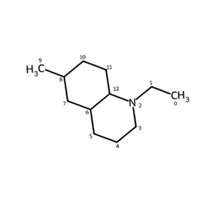 CCN1CCCC2CC(C)CCC21